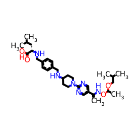 C=C(NOC(C)OCC(C)C)c1cnc(N2CCC(NCc3ccc(CN[C@@H](CC(C)C)C(=O)O)cc3)CC2)nc1